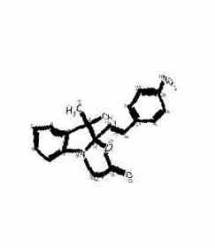 CC1(C)c2ccccc2N2CC(=O)OC21/C=C/c1ccc([N+](=O)[O-])cc1